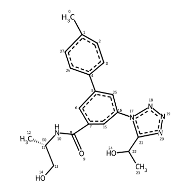 Cc1ccc(-c2cc(C(=O)N[C@@H](C)CO)cc(-n3nnnc3C(C)O)c2)cc1